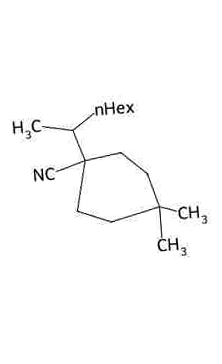 CCCCCCC(C)C1(C#N)CCC(C)(C)CC1